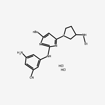 CCCCc1cc(N2CCC(NCC)C2)nc(Nc2cc(N)cc(C#N)c2)n1.Cl.Cl